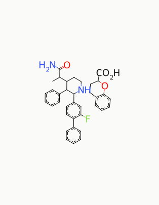 CC(C(N)=O)C1CCNC(c2ccc(-c3ccccc3)c(F)c2)C1c1ccccc1.O=C(O)C1CCc2ccccc2O1